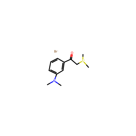 CN(C)c1cccc(C(=O)C[S+](C)C)c1.[Br-]